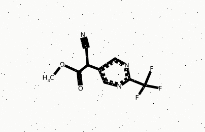 COC(=O)C(C#N)c1cnc(C(F)(F)F)nc1